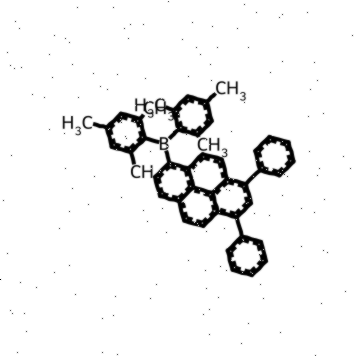 Cc1cc(C)c(B(c2c(C)cc(C)cc2C)c2ccc3ccc4c(-c5ccccc5)cc(-c5ccccc5)c5ccc2c3c45)c(C)c1